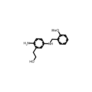 COc1ccccc1CNc1ccc(N)c(CCO)c1